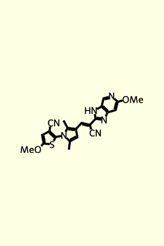 COc1cc2nc(/C(C#N)=C/c3cc(C)n(-c4sc(OC)cc4C#N)c3C)[nH]c2cn1